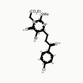 CCOC(=O)Cn1c(SC)nc(CCC(=O)c2ccc(Cl)cc2)c(Br)c1=O